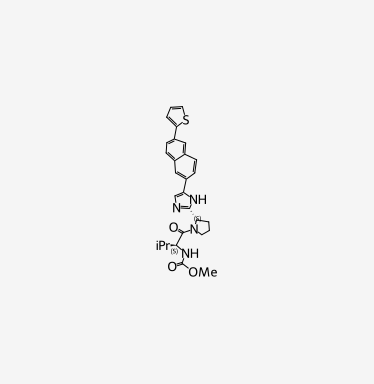 COC(=O)N[C@H](C(=O)N1CCC[C@H]1c1ncc(-c2ccc3cc(-c4cccs4)ccc3c2)[nH]1)C(C)C